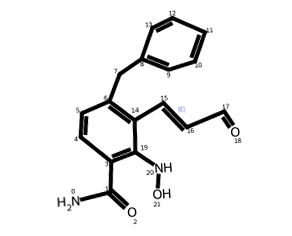 NC(=O)c1ccc(Cc2ccccc2)c(/C=C/C=O)c1NO